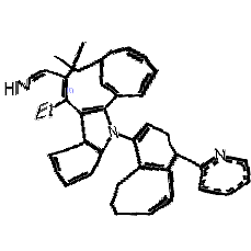 CC/C1=C(\C=N)C(C)(C)C2C=CC=CC(=C2)C2=C1C1C=CC=CC1N2C1=CCC(c2ccccn2)C2=C1CCC=C2